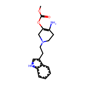 COC(=O)OC1=C(N)CCN(CCc2c[nH]c3ccccc23)C1